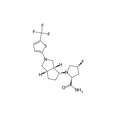 NC(=O)[C@@H]1C[C@H](F)CN1[C@H]1CC[C@@H]2CN(c3ccc(C(F)(F)F)s3)C[C@@H]21